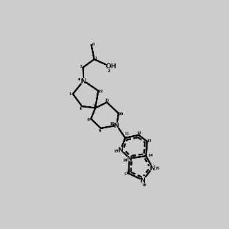 CC(O)CN1CCC2(CCN(c3ccc4nncn4n3)CC2)C1